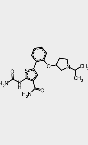 CC(C)N1CCC(Oc2ccccc2-c2cc(C(N)=O)c(NC(N)=O)s2)C1